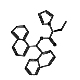 CC[C@@H](C(=O)OC(c1cccc2ccccc12)c1cccc2ccccc12)n1cccc1